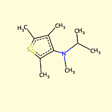 Cc1sc(C)c(N(C)C(C)C)c1C